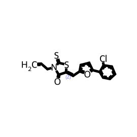 C=CCN1C(=O)/C(=C/c2ccc(-c3ccccc3Cl)o2)SC1=S